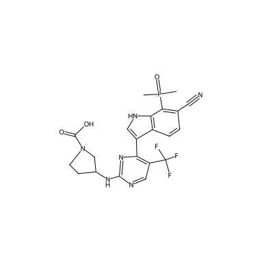 CP(C)(=O)c1c(C#N)ccc2c(-c3nc(NC4CCN(C(=O)O)C4)ncc3C(F)(F)F)c[nH]c12